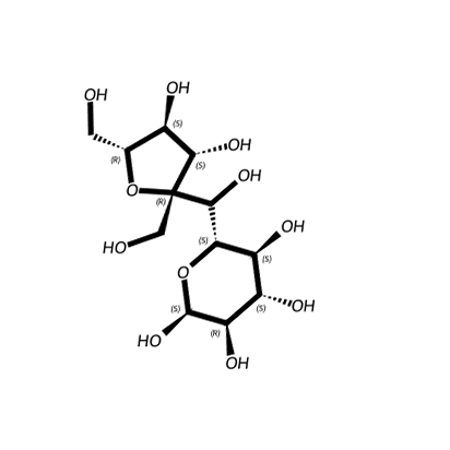 OC[C@H]1O[C@@](CO)(C(O)[C@H]2O[C@H](O)[C@H](O)[C@@H](O)[C@@H]2O)[C@@H](O)[C@@H]1O